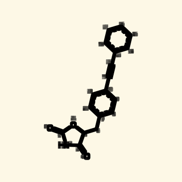 O=C1NC(=O)C(Cc2ccc(C#Cc3ccccc3)cc2)O1